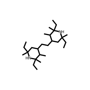 CCC1(C)CC(CCC2CC(C)(CC)NC(C)(CC)C2C)C(C)C(C)(CC)N1